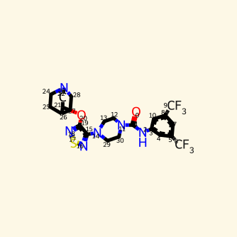 O=C(Nc1cc(C(F)(F)F)cc(C(F)(F)F)c1)N1CCN(c2nsnc2OC2CN3CCC2CC3)CC1